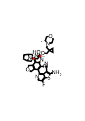 C[C@@H]1COCCN1CC1(COc2nc(N3C4CCC3CN(C[C@@H](C)O)C4)c3c4c(c(-c5ncc(F)c6sc(N)c(C#N)c56)c(F)c3n2)COC4)CC1